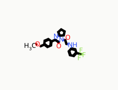 COCc1ccc(C2=NC3(CCCC3)N(C(=O)CNc3cccc(C(F)(F)F)c3)C2=O)cc1